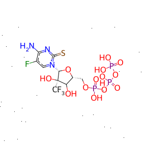 Nc1nc(=S)n([C@@H]2O[C@H](COP(=O)(O)OP(=O)(O)OP(=O)(O)O)C(O)[C@]2(O)C(F)(F)F)cc1F